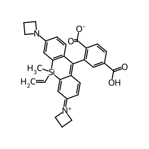 C=C[Si]1(C)C2=CC(=[N+]3CCC3)C=CC2=C(c2cc(C(=O)O)ccc2C(=O)[O-])c2ccc(N3CCC3)cc21